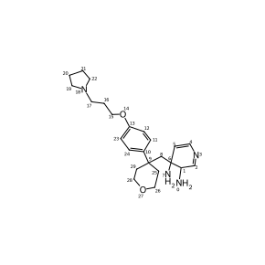 NC1C=NC=CC1(N)CC1(c2ccc(OCCCN3CCCC3)cc2)CCOCC1